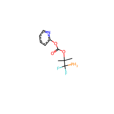 CC(C)(OC(=O)Oc1ccccn1)C(F)(F)P